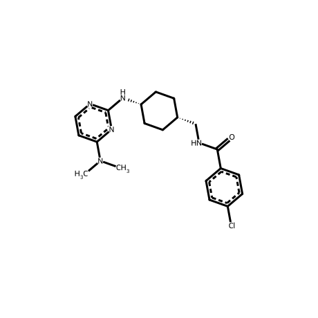 CN(C)c1ccnc(N[C@H]2CC[C@@H](CNC(=O)c3ccc(Cl)cc3)CC2)n1